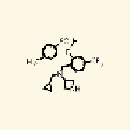 Cc1ccc(S(=O)(=O)O)cc1.Fc1cc(C(F)(F)F)ccc1CN(CC1CC1)C1CNC1